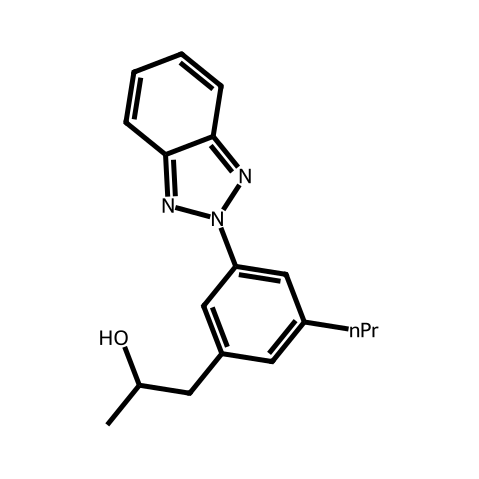 CCCc1cc(CC(C)O)cc(-n2nc3ccccc3n2)c1